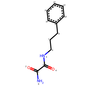 NC(=O)C(=O)NCCCc1ccccc1